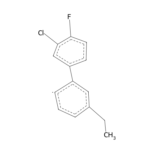 CCc1cc[c]c(-c2ccc(F)c(Cl)c2)c1